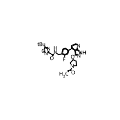 C=CC(=O)N1CCC(Oc2n[nH]c3nccc(-c4ccc(CNC(=O)c5noc(C(C)(C)C)n5)c(F)c4)c23)C1